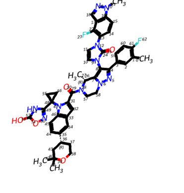 Cc1cc(-c2nn3c(c2-n2ccn(-c4ccc5c(cnn5C)c4F)c2=O)[C@@H](C)N(C(=O)c2cc4cc([C@@H]5CCOC(C)(C)C5)ccc4n2C2(C4=NOC(O)N4)CC2)CC3)ccc1F